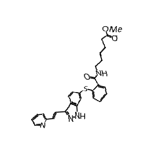 COC(=O)CCCCCNC(=O)c1ccccc1Sc1ccc2c(C=Cc3ccccn3)n[nH]c2c1